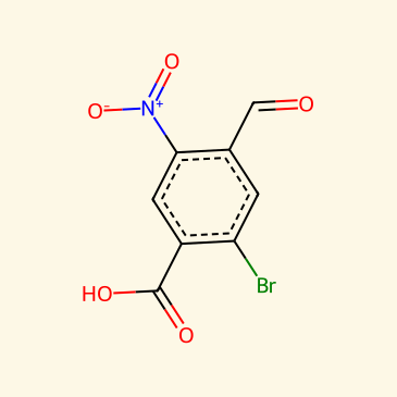 O=Cc1cc(Br)c(C(=O)O)cc1[N+](=O)[O-]